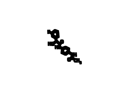 CC(=O)Nc1ccc(NC(=O)C(O)c2cccc(F)c2)cc1